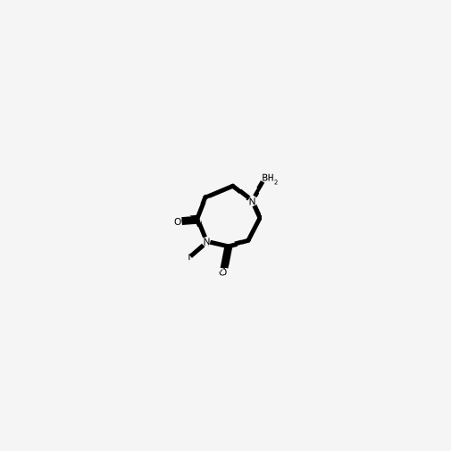 BN1CCC(=O)N(I)C(=O)CC1